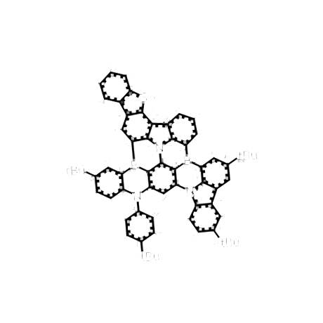 CC(C)(C)c1ccc(N2c3ccc(C(C)(C)C)cc3B3c4c2cc2c5c4-n4c6c(cccc6c6c7sc8ccccc8c7cc3c64)B5c3cc(C(C)(C)C)cc4c5cc(C(C)(C)C)ccc5n-2c34)cc1